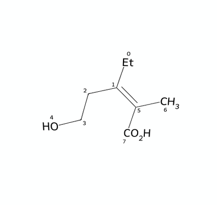 CCC(CCO)=C(C)C(=O)O